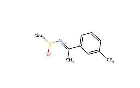 C/C(=N\[S+]([O-])C(C)(C)C)c1cccc(C(F)(F)F)c1